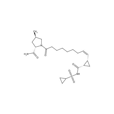 C[C@@H]1C[C@@H](C(N)=O)N(C(=O)CCCCCC/C=C\[C@@H]2C[C@@H]2C(=O)NS(=O)(=O)C2CC2)C1